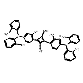 Cc1ccccc1N(c1ccc(C2=C(O)C(c3ccc(N(c4ccccc4C)c4ccccc4C)cc3O)=C2O)c(O)c1)c1ccccc1C